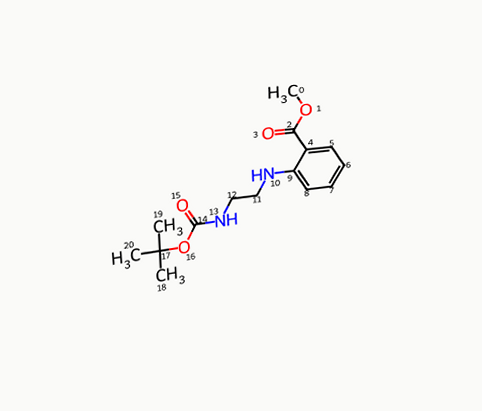 COC(=O)c1ccccc1NCCNC(=O)OC(C)(C)C